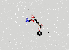 COC[SiH](CCCSC(=O)COc1ccccc1)OCCN(C)C